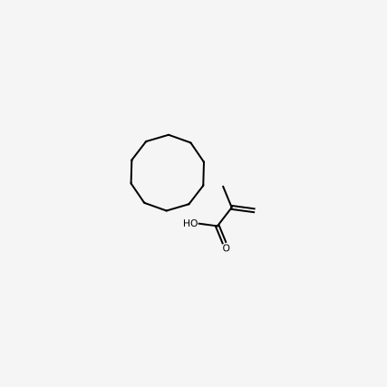 C1CCCCCCCCC1.C=C(C)C(=O)O